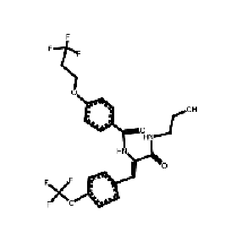 O=C(NCCO)/C(=C/c1ccc(OC(F)(F)F)cc1)NC(=O)c1ccc(OCCC(F)(F)F)cc1